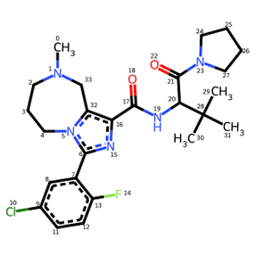 CN1CCCn2c(-c3cc(Cl)ccc3F)nc(C(=O)NC(C(=O)N3CCCC3)C(C)(C)C)c2C1